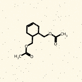 CC(=O)OCC1CC=CCC1COC(C)=O